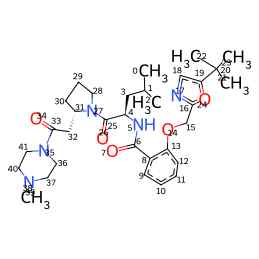 CC(C)C[C@@H](NC(=O)c1ccccc1OCc1ncc(C(C)(C)C)o1)C(=O)N1CCC[C@H]1CC(=O)N1CCN(C)CC1